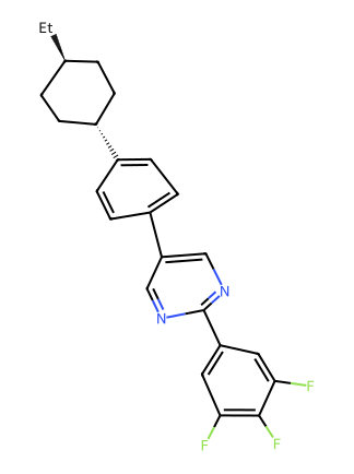 CC[C@H]1CC[C@H](c2ccc(-c3cnc(-c4cc(F)c(F)c(F)c4)nc3)cc2)CC1